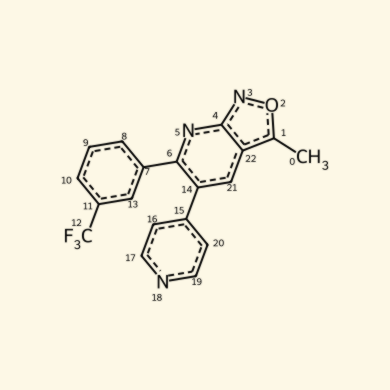 Cc1onc2nc(-c3cccc(C(F)(F)F)c3)c(-c3ccncc3)cc12